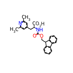 Cc1cc(C[C@H](NC(=O)OCC2c3ccccc3-c3ccccc32)C(=O)O)cc(C)n1